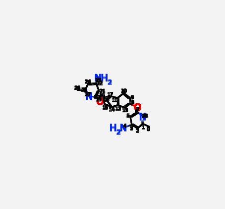 Cc1cc(N)cc(Oc2ccc3c(c2)C2CCC3C2Oc2cc(N)cc(C)n2)n1